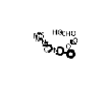 O=CO.c1ccc(C2CCN([C@@H]3COC4(C3)CN(c3nncs3)C4)CC2)c(OC2COC2)c1